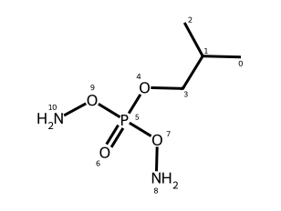 CC(C)COP(=O)(ON)ON